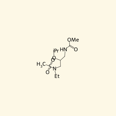 CCN(CC(CNC(=O)OC)OC(C)C)S(C)(=O)=O